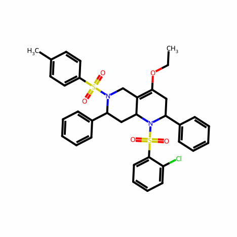 CCOC1=C2CN(S(=O)(=O)c3ccc(C)cc3)C(c3ccccc3)CC2N(S(=O)(=O)c2ccccc2Cl)C(c2ccccc2)C1